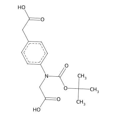 CC(C)(C)OC(=O)N(CC(=O)O)c1ccc(CC(=O)O)cc1